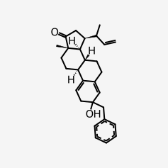 C=CC(C)[C@@H]1CC(=O)[C@@]2(C)CC[C@@H]3C4=CCC(O)(Cc5ccccc5)C=C4CC[C@H]3[C@H]12